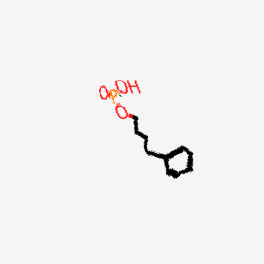 O=[P](O)OCCCCc1ccccc1